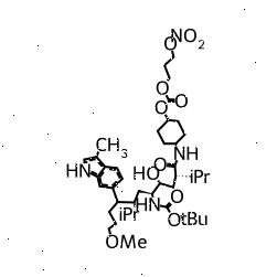 COCCCC(c1ccc2c(C)c[nH]c2c1)[C@@H](C[C@H](NC(=O)OC(C)(C)C)[C@@H](O)C[C@H](C(=O)NC1CCC(OC(=O)OCCCO[N+](=O)[O-])CC1)C(C)C)C(C)C